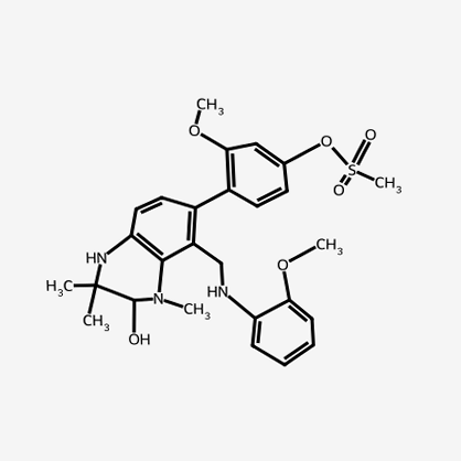 COc1ccccc1NCc1c(-c2ccc(OS(C)(=O)=O)cc2OC)ccc2c1N(C)C(O)C(C)(C)N2